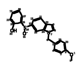 COc1ccc(Cn2ccc3ccc([S+]([O-])c4ccccc4O)cc32)cc1